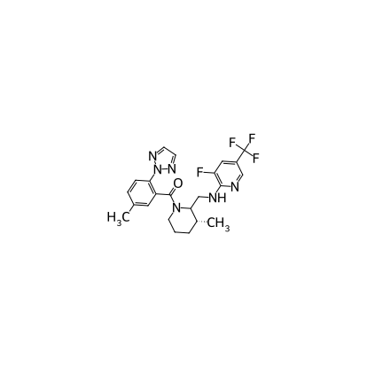 Cc1ccc(-n2nccn2)c(C(=O)N2CCC[C@@H](C)C2CNc2ncc(C(F)(F)F)cc2F)c1